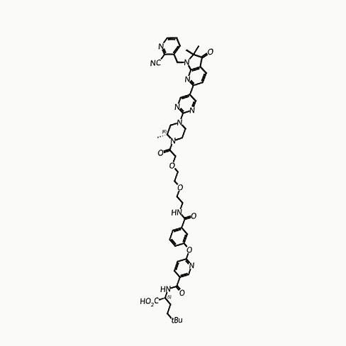 C[C@@H]1CN(c2ncc(-c3ccc4c(n3)N(Cc3cccnc3C#N)C(C)(C)C4=O)cn2)CCN1C(=O)COCCOCCNC(=O)c1cccc(Oc2ccc(C(=O)N[C@@H](CCC(C)(C)C)C(=O)O)cn2)c1